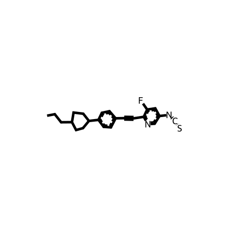 CCCC1CCC(c2ccc(C#Cc3ncc(N=C=S)cc3F)cc2)CC1